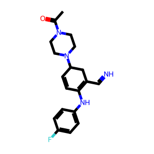 CC(=O)N1CCN(C2C=CC(Nc3ccc(F)cc3)=C(C=N)C2)CC1